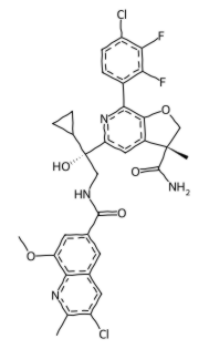 COc1cc(C(=O)NC[C@](O)(c2cc3c(c(-c4ccc(Cl)c(F)c4F)n2)OC[C@]3(C)C(N)=O)C2CC2)cc2cc(Cl)c(C)nc12